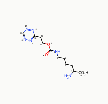 NC(CCCCNC(=O)OCCc1nncnn1)C(=O)O